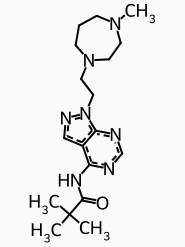 CN1CCCN(CCn2ncc3c(NC(=O)C(C)(C)C)ncnc32)CC1